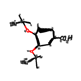 CC(C)(C)[Si](C)(C)Oc1ccc(C(=O)O)cc1O[Si](C)(C)C(C)(C)C